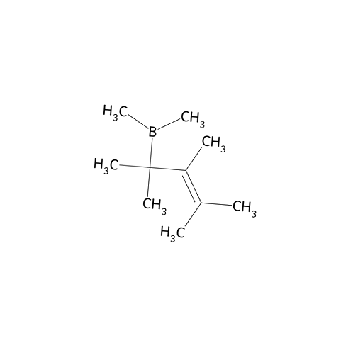 CB(C)C(C)(C)C(C)=C(C)C